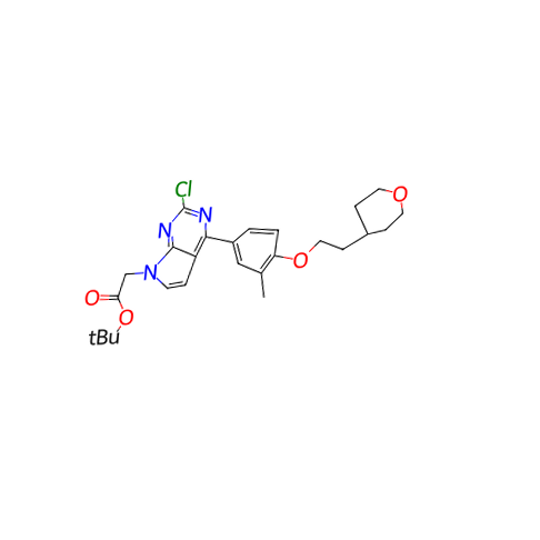 Cc1cc(-c2nc(Cl)nc3c2ccn3CC(=O)OC(C)(C)C)ccc1OCCC1CCOCC1